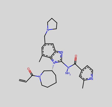 C=CC(=O)N1CCCC[C@@H](n2c(N(N)C(=O)c3ccnc(C)c3)nc3cc(CN4CCCC4)cc(C)c32)C1